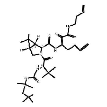 C=CCCNC(=O)C(=O)C(CCC=C)NC(=O)[C@@H]1[C@@H]2[C@H](CN1C(=O)[C@@H](NC(=O)NC(C)(C)CC(C)(C)C)C(C)(C)C)C2(C)C